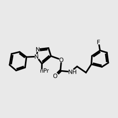 CCCc1c(OC(=O)NCCc2cccc(F)c2)cnn1-c1ccccc1